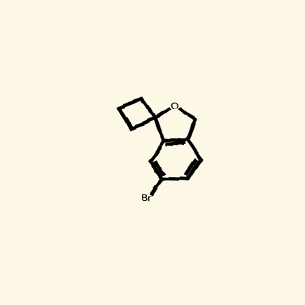 Brc1ccc2c(c1)C1(CCC1)OC2